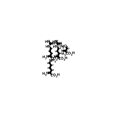 N=C(N)NCCCC(N)C(=O)O.N=C(N)NCCCC(N)C(=O)O.NC(CO)C(=O)O.NCCCCC(N)C(=O)O